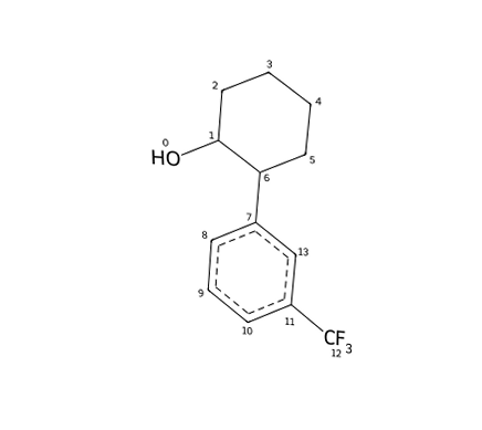 OC1CCCCC1c1cccc(C(F)(F)F)c1